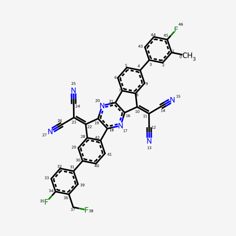 Cc1cc(-c2ccc3c(c2)C(=C(C#N)C#N)c2nc4c(nc2-3)C(=C(C#N)C#N)c2cc(-c3ccc(F)c(CF)c3)ccc2-4)ccc1F